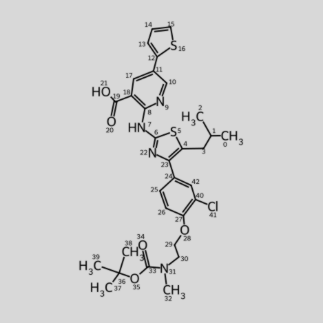 CC(C)Cc1sc(Nc2ncc(-c3cccs3)cc2C(=O)O)nc1-c1ccc(OCCN(C)C(=O)OC(C)(C)C)c(Cl)c1